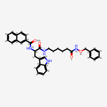 O=C(CCCCCNC(=O)C(Cc1c[nH]c2ccccc12)NC(=O)c1ccc2ccccc2c1)NOCc1ccccc1